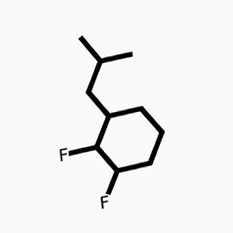 CC(C)CC1CCCC(F)C1F